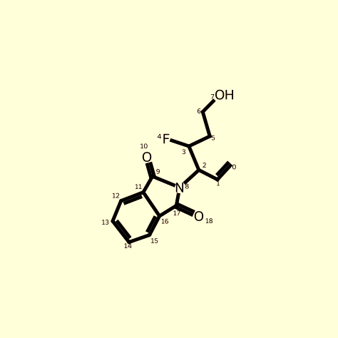 C=CC(C(F)CCO)N1C(=O)c2ccccc2C1=O